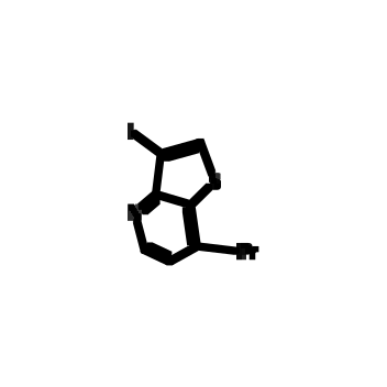 CC(C)c1ccnc2c(I)csc12